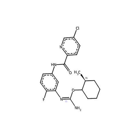 C[C@H]1CCCCC1O/C(N)=N\c1cc(NC(=O)c2ccc(Cl)cn2)ccc1F